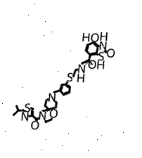 CC(C)c1nc(C(=O)N2CCOC3(CCN(Cc4cccc(SCCNC[C@H](O)c5ccc(O)c6[nH]c(=O)sc56)c4)CC3)C2)cs1